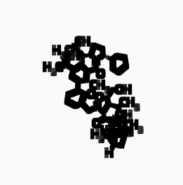 COc1c(CN2O[C@@H](CO)[C@@H]([C@H](C)O)[C@H]2C(=O)N[C@H]2C[C@H]3C[C@@H]([C@@H]2C)C3(C)C)cccc1-c1cc(C(=O)N2[C@H](CN(C)C)CC[C@@H]2c2ccccc2)cc(N(C)C)c1